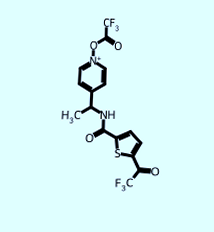 CC(NC(=O)c1ccc(C(=O)C(F)(F)F)s1)c1cc[n+](OC(=O)C(F)(F)F)cc1